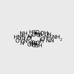 Nc1nc2c(ncn2[C@@H]2O[C@@H]3COP(=O)(S)O[C@H]4[C@@H](O)[C@H](n5cnc6c(N)ncnc65)O[C@@H]4COP(=O)(S)O[C@H]3[C@H]2O)c(=O)[nH]1